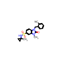 Cn1c(=O)n(Cc2ccccc2C#N)c2ccc(S(=O)(=O)NC3(C)CC3)cc21